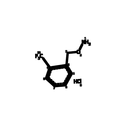 Cl.NOCc1ccccc1C(F)(F)F